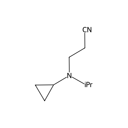 CC(C)N(CCC#N)C1CC1